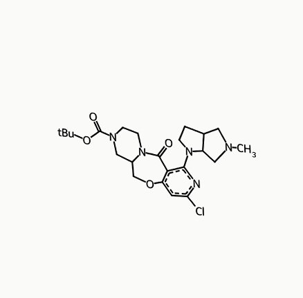 CN1CC2CCN(c3nc(Cl)cc4c3C(=O)N3CCN(C(=O)OC(C)(C)C)CC3CO4)C2C1